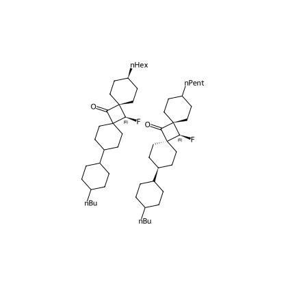 CCCCCC1CC[C@]2(CC1)C(=O)[C@@]1(CC[C@H](C3CCC(CCCC)CC3)CC1)[C@@H]2F.CCCCCC[C@H]1CC[C@]2(CC1)C(=O)C1(CCC(C3CCC(CCCC)CC3)CC1)[C@@H]2F